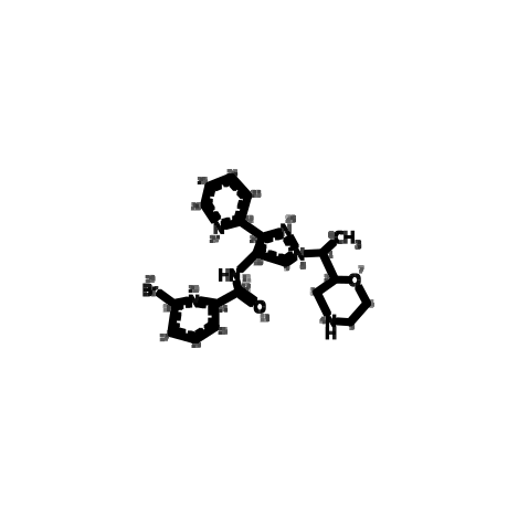 CC(C1CNCCO1)n1cc(NC(=O)c2cccc(Br)n2)c(-c2ccccn2)n1